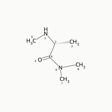 CN[C@H](C)C(=O)N(C)C